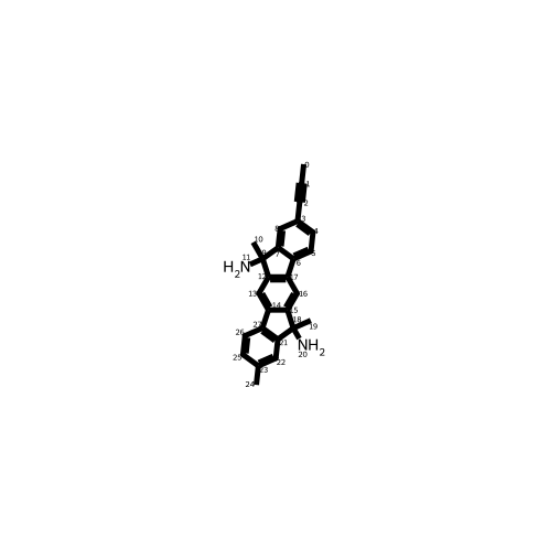 CC#Cc1ccc2c(c1)C(C)(N)c1cc3c(cc1-2)C(C)(N)c1cc(C)ccc1-3